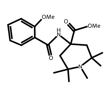 COC(=O)C1(NC(=O)c2ccccc2OC)CC(C)(C)N(C)C(C)(C)C1